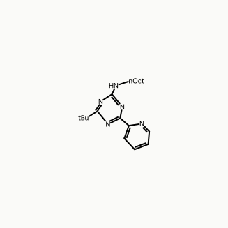 CCCCCCCCNc1nc(-c2ccccn2)nc(C(C)(C)C)n1